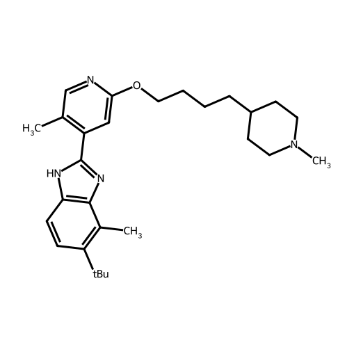 Cc1cnc(OCCCCC2CCN(C)CC2)cc1-c1nc2c(C)c(C(C)(C)C)ccc2[nH]1